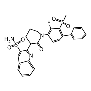 CS(=O)(=O)c1c(-c2ccccc2)ccc(N2CCCC(c3nc4ccccc4cc3S(N)(=O)=O)C2=O)c1F